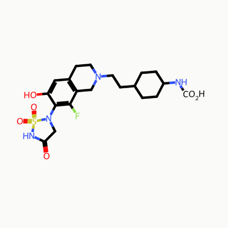 O=C(O)NC1CCC(CCN2CCc3cc(O)c(N4CC(=O)NS4(=O)=O)c(F)c3C2)CC1